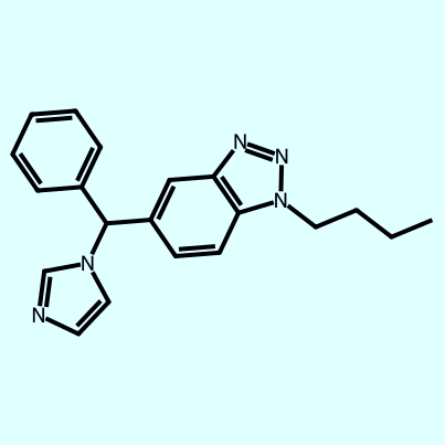 CCCCn1nnc2cc(C(c3ccccc3)n3ccnc3)ccc21